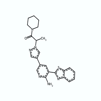 CC(C(=O)N1CCCCC1)n1cc(-c2cnc(N)c(-c3nc4ccccc4s3)c2)cn1